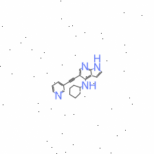 C(#Cc1cnc2[nH]ccc2c1NC1CCCCC1)c1cccnc1